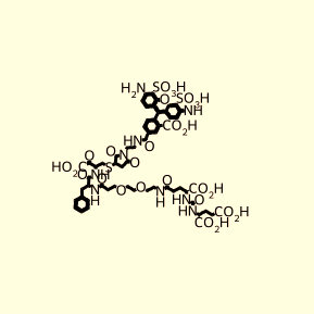 N=c1ccc2c(-c3ccc(C(=O)NCCN4C(=O)CC(SCC(NC(=O)C(Cc5ccccc5)NC(=O)CCOCCOCCNC(=O)CC[C@@H](NC(=O)N[C@H](CCC(=O)O)C(=O)O)C(=O)O)C(=O)C(=O)O)C4=O)cc3C(=O)O)c3ccc(N)c(S(=O)(=O)O)c3oc-2c1S(=O)(=O)O